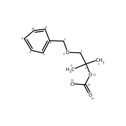 CC(C)(COCc1ccccc1)OC(=O)Cl